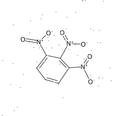 O=[N+]([O-])c1[c]ccc([N+](=O)[O-])c1[N+](=O)[O-]